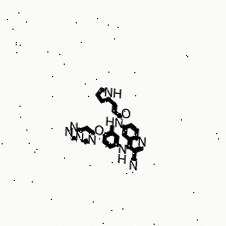 Cc1cc(Nc2c(C#N)cnc3ccc(NC(=O)C=CC4CCCN4)cc23)ccc1Oc1cc2nncn2cn1